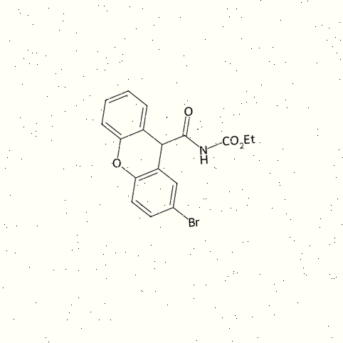 CCOC(=O)NC(=O)C1c2ccccc2Oc2ccc(Br)cc21